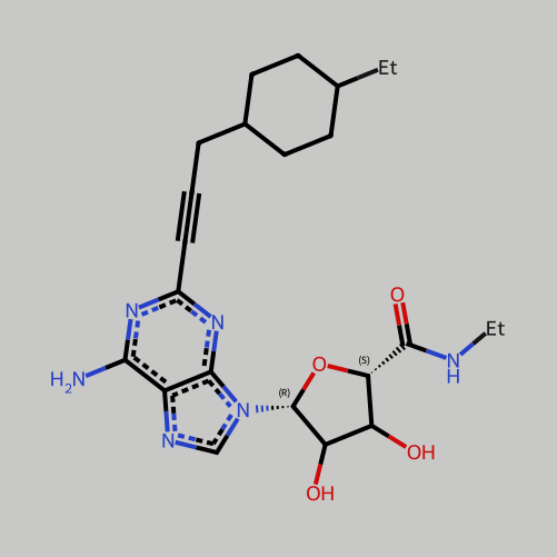 CCNC(=O)[C@H]1O[C@@H](n2cnc3c(N)nc(C#CCC4CCC(CC)CC4)nc32)C(O)C1O